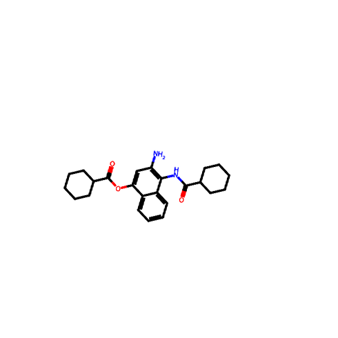 Nc1cc(OC(=O)C2CCCCC2)c2ccccc2c1NC(=O)C1CCCCC1